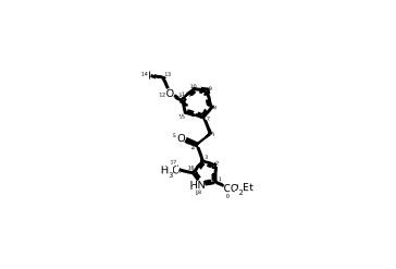 CCOC(=O)c1cc(C(=O)Cc2cccc(OCI)c2)c(C)[nH]1